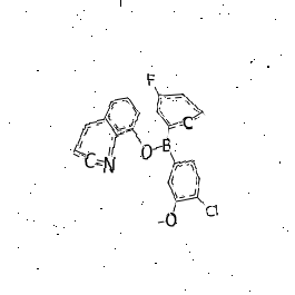 COc1cc(B(Oc2cccc3cccnc23)c2cccc(F)c2)ccc1Cl